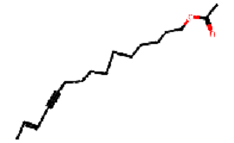 CC=CC#CCCCCCCCCCCOC(C)=O